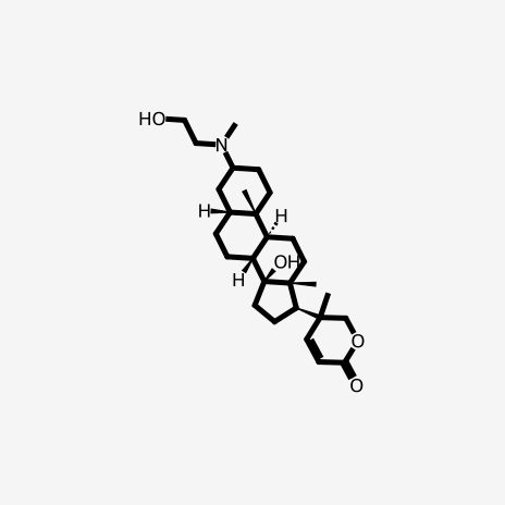 CN(CCO)C1CC[C@@]2(C)[C@H](CC[C@@H]3[C@@H]2CC[C@]2(C)[C@@H](C4(C)C=CC(=O)OC4)CC[C@]32O)C1